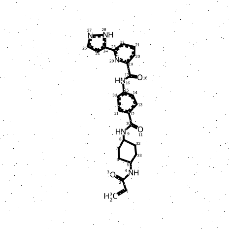 C=CC(=O)NC1CCC(NC(=O)c2ccc(NC(=O)c3cccc(-c4ccn[nH]4)n3)cc2)CC1